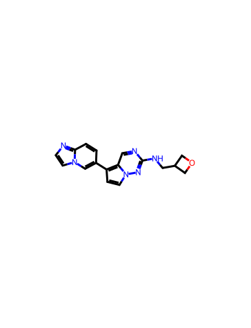 c1cn2cc(-c3ccn4nc(NCC5COC5)ncc34)ccc2n1